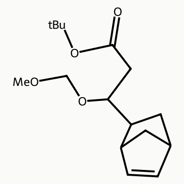 COCOC(CC(=O)OC(C)(C)C)C1CC2C=CC1C2